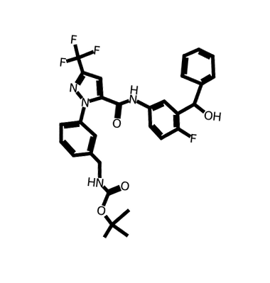 CC(C)(C)OC(=O)NCc1cccc(-n2nc(C(F)(F)F)cc2C(=O)Nc2ccc(F)c(C(O)c3ccccc3)c2)c1